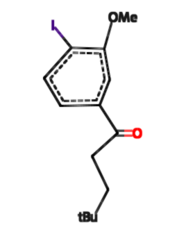 COc1cc(C(=O)CCC(C)(C)C)ccc1I